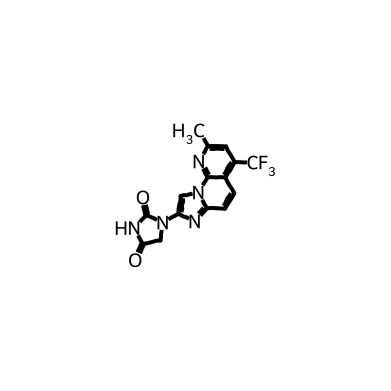 Cc1cc(C(F)(F)F)c2ccc3nc(N4CC(=O)NC4=O)cn3c2n1